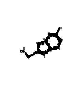 Cc1ccc2sc(CN=O)cc2c1